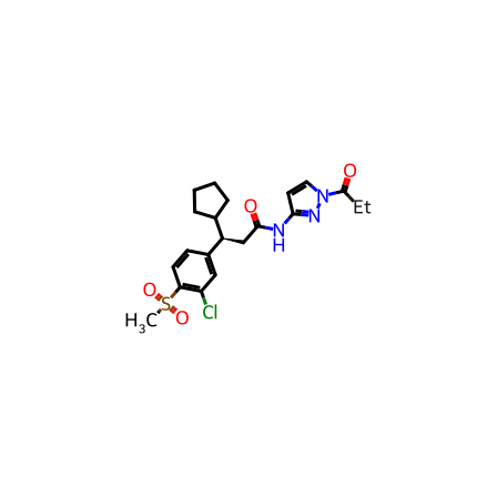 CCC(=O)n1ccc(NC(=O)C[C@@H](c2ccc(S(C)(=O)=O)c(Cl)c2)C2CCCC2)n1